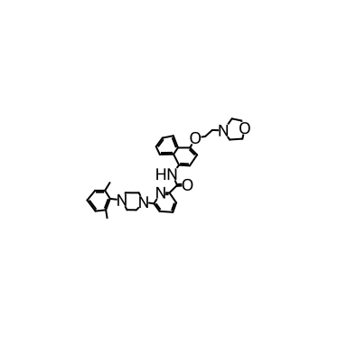 Cc1cccc(C)c1N1CCN(c2cccc(C(=O)Nc3ccc(OCCN4CCOCC4)c4ccccc34)n2)CC1